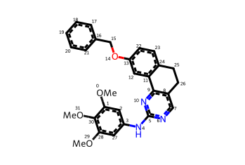 COc1cc(Nc2ncc3c(n2)-c2cc(OCc4ccccc4)ccc2CC3)cc(OC)c1OC